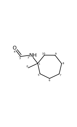 CC1(N[C]=O)CCCCCC1